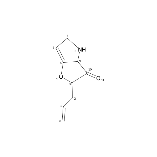 C=CCC1OC2=CCNC2C1=O